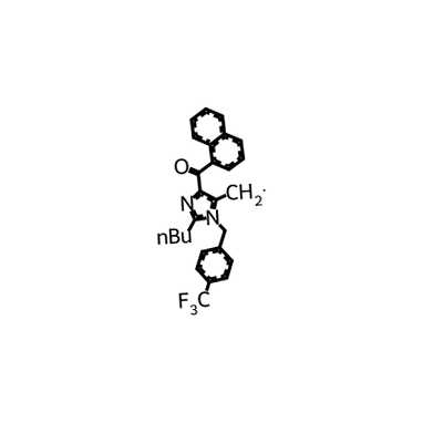 [CH2]c1c(C(=O)c2cccc3ccccc23)nc(CCCC)n1Cc1ccc(C(F)(F)F)cc1